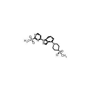 CS(=O)(=O)c1nccc(-n2ncc3c(N4CCC(S(C)(=O)=O)CC4)cccc32)n1